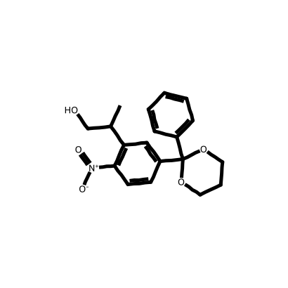 CC(CO)c1cc(C2(c3ccccc3)OCCCO2)ccc1[N+](=O)[O-]